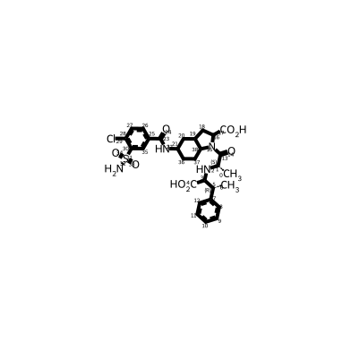 C[C@H](NC(C(=O)O)[C@H](C)c1ccccc1)C(=O)N1C(C(=O)O)CC2CC(NC(=O)c3ccc(Cl)c(S(N)(=O)=O)c3)CCC21